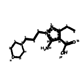 CCc1nn(CCCN2CCOCC2)c(N)c1C(=O)O